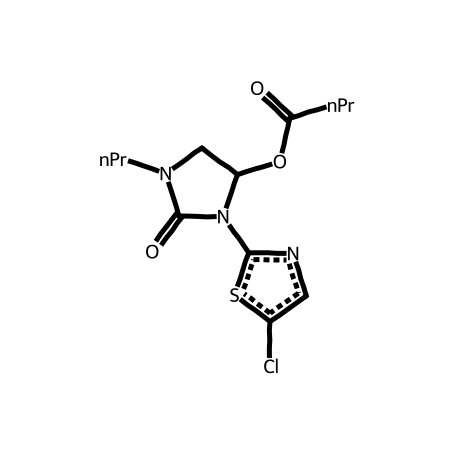 CCCC(=O)OC1CN(CCC)C(=O)N1c1ncc(Cl)s1